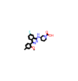 COc1cc(C)ccc1-c1nnc(N[C@@H]2CCCN(C(=O)O)C2)c2cc(F)ccc12